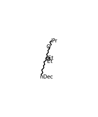 CCCCCCCCCCCCCCCCCCCCCCCCOCCC(C)C.CCOCC